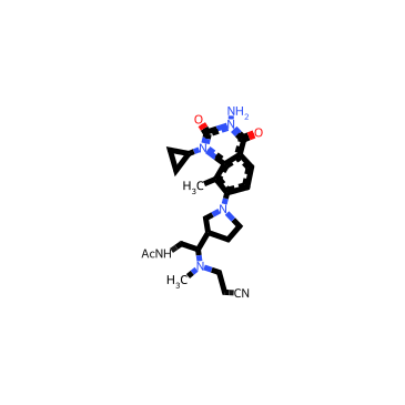 CC(=O)NCC(C1CCN(c2ccc3c(=O)n(N)c(=O)n(C4CC4)c3c2C)C1)N(C)CCC#N